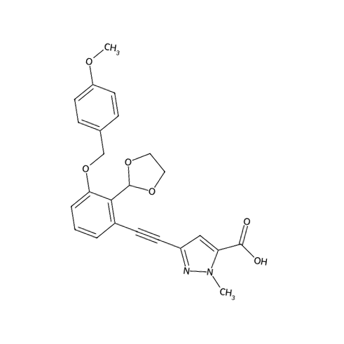 COc1ccc(COc2cccc(C#Cc3cc(C(=O)O)n(C)n3)c2C2OCCO2)cc1